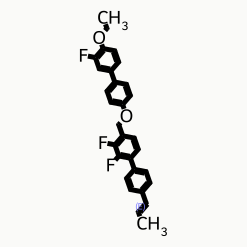 C/C=C/c1ccc(-c2ccc(COc3ccc(-c4ccc(OCC)c(F)c4)cc3)c(F)c2F)cc1